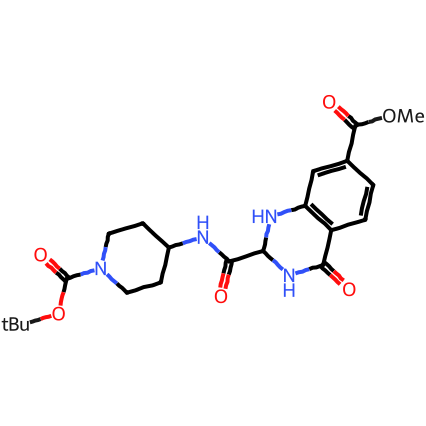 COC(=O)c1ccc2c(c1)NC(C(=O)NC1CCN(C(=O)OC(C)(C)C)CC1)NC2=O